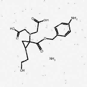 N.Nc1ccc(COC(=O)C2(N(CC(=O)O)CC(=O)O)CC2CCO)cc1